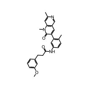 COc1cccc(CCC(=O)Nc2ccc(C)c(-c3cc4cnc(C)cc4n(C)c3=O)c2)c1